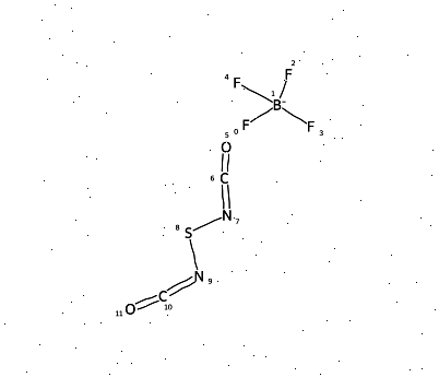 F[B-](F)(F)F.O=C=NSN=C=O